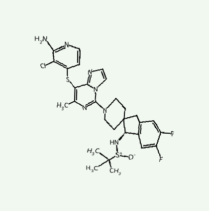 Cc1nc(N2CCC3(CC2)Cc2cc(F)c(F)cc2[C@H]3N[S+]([O-])C(C)(C)C)n2ccnc2c1Sc1ccnc(N)c1Cl